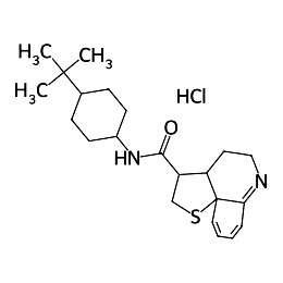 CC(C)(C)C1CCC(NC(=O)C2CSC34C=CC=CC3=NCCC24)CC1.Cl